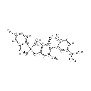 BC(B)(Oc1cc(C)n(-c2cc(C(C)=O)ncc2C)c(=O)c1Cl)c1ncc(F)cc1F